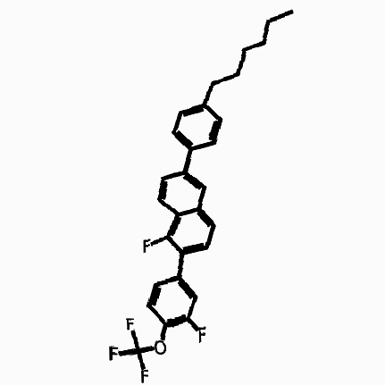 CCCCCCc1ccc(-c2ccc3c(F)c(-c4ccc(OC(F)(F)F)c(F)c4)ccc3c2)cc1